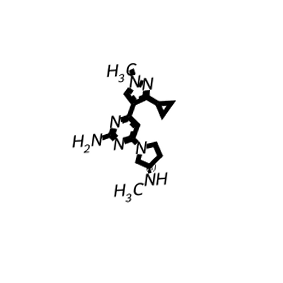 CN[C@@H]1CCN(c2cc(-c3cn(C)nc3C3CC3)nc(N)n2)C1